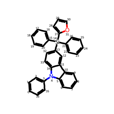 c1ccc(-n2c3ccccc3c3cc([Si](c4ccccc4)(c4ccccc4)c4ccco4)ccc32)cc1